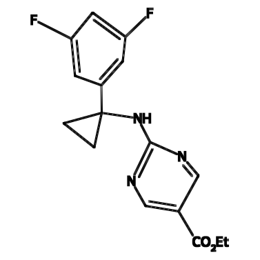 CCOC(=O)c1cnc(NC2(c3cc(F)cc(F)c3)CC2)nc1